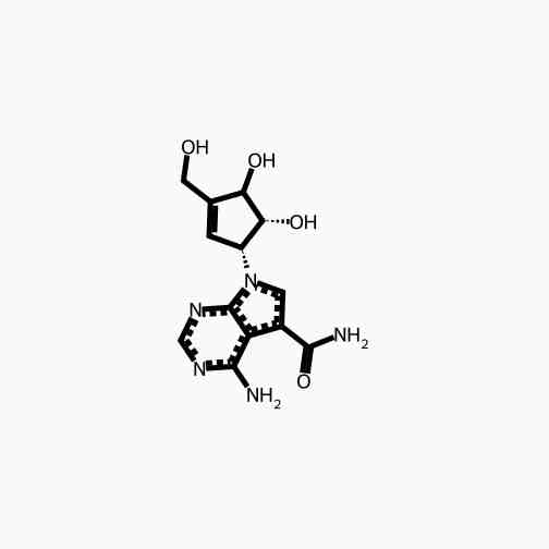 NC(=O)c1cn([C@@H]2C=C(CO)C(O)[C@@H]2O)c2ncnc(N)c12